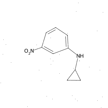 O=[N+]([O-])c1cccc(NC2CC2)c1